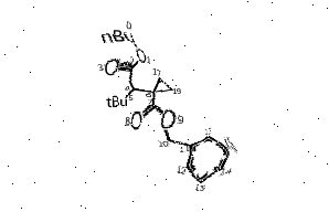 CCCCOC(=O)C(C(C)(C)C)C1(C(=O)OCc2ccccc2)CC1